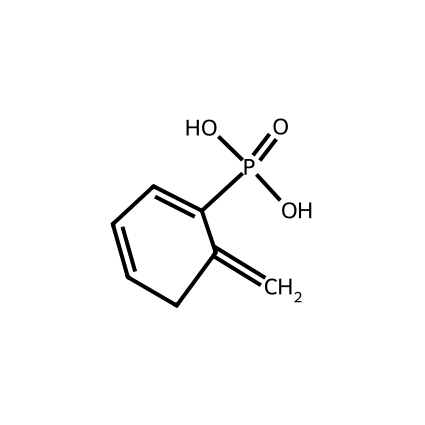 C=C1CC=CC=C1P(=O)(O)O